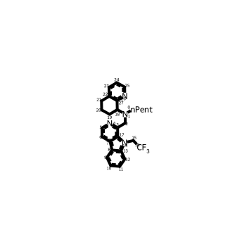 CCCCCN(Cc1nccc2c3ccccc3n(CC(F)(F)F)c12)C1CCCc2cccnc21